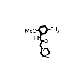 COc1ccc(C)cc1NC(=O)CN1CCOCC1